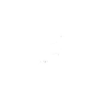 CC(=O)Nc1ccc(C(C)C)cn1